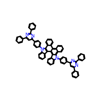 c1ccc(-c2cc(-c3ccc(-n4c5ccccc5c5c6c(c7ccccc7c54)c4ccccc4c4c6c5ccccc5n4-c4ccc(-c5cc(-c6ccccc6)nc(-c6ccccc6)n5)cc4)cc3)nc(-c3ccccc3)n2)cc1